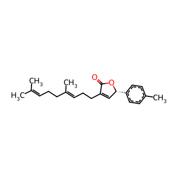 CC(C)=CCC/C(C)=C/CCC1=C[C@@H](c2ccc(C)cc2)OC1=O